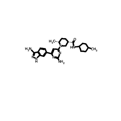 CC1CCC(NC(=O)[C@H]2CC[C@@H](C)N(c3cc(-c4ccc5c(N)n[nH]c5c4)nc(N)n3)C2)CC1